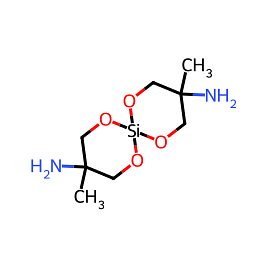 CC1(N)CO[Si]2(OC1)OCC(C)(N)CO2